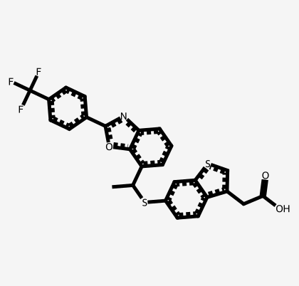 CC(Sc1ccc2c(CC(=O)O)csc2c1)c1cccc2nc(-c3ccc(C(F)(F)F)cc3)oc12